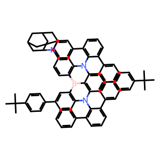 CC(C)(C)c1ccc(-c2ccc3c(c2)B2c4ccc(N5C6CC7CC(C6)CC5C7)cc4N(c4c(-c5ccccc5)cccc4-c4ccccc4)c4cc(-c5ccc(C(C)(C)C)cc5)cc(c42)N3c2c(-c3ccccc3)cccc2-c2ccccc2)cc1